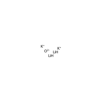 [K+].[K+].[LiH].[LiH].[O-2]